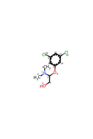 CN(C)C(CO)Oc1cc(Cl)cc(Cl)c1